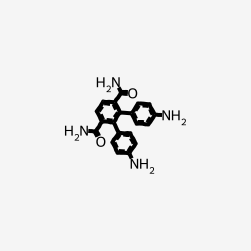 NC(=O)c1ccc(C(N)=O)c(-c2ccc(N)cc2)c1-c1ccc(N)cc1